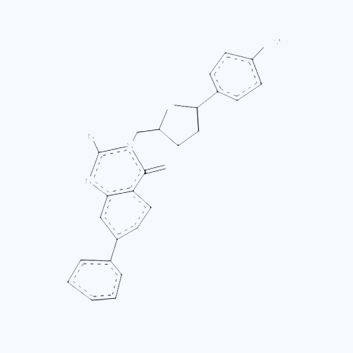 COc1ccc(C2CCC(Cn3c(N)nc4cc(-c5ccccc5)ccc4c3=O)O2)cc1